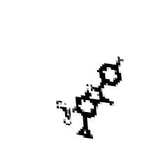 [CH2]c1c(-c2ccc(F)cc2)oc2cc([N+](=O)[O-])c(C3CC3)cc12